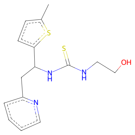 Cc1ccc(C(Cc2ccccn2)NC(=S)NCCO)s1